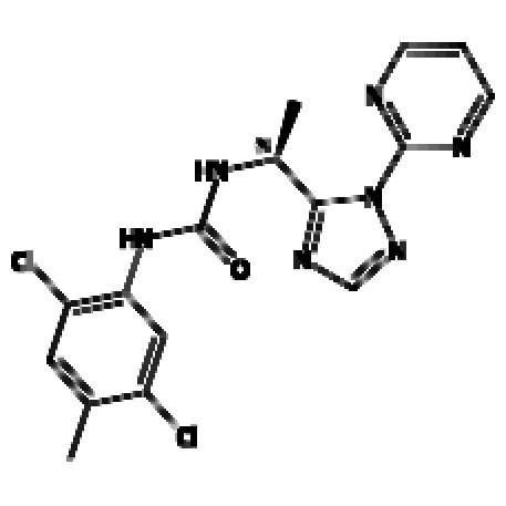 Cc1cc(Cl)c(NC(=O)N[C@@H](C)c2ncnn2-c2ncccn2)cc1Cl